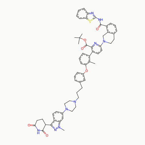 Cc1c(Oc2cccc(CCCN3CCN(c4ccc5c(C6CCC(=O)NC6=O)nn(C)c5c4)CC3)c2)cccc1-c1ccc(N2CCc3cccc(C(=O)Nc4nc5ccccc5s4)c3C2)nc1C(=O)OC(C)(C)C